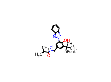 C=C(C)C(=O)NCc1cc(-n2nc3ccccc3n2)c(O)c(C(C)(C)CCCCC)c1